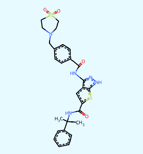 CC(C)(NC(=O)c1cc2c(NC(=O)c3ccc(CN4CCS(=O)(=O)CC4)cc3)n[nH]c2s1)c1ccccc1